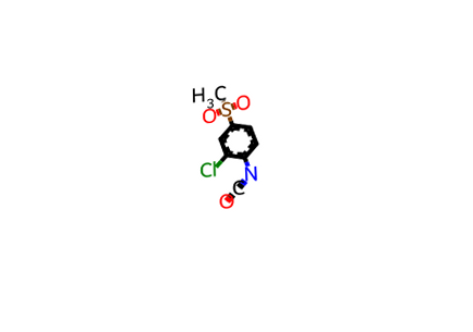 CS(=O)(=O)c1ccc(N=C=O)c(Cl)c1